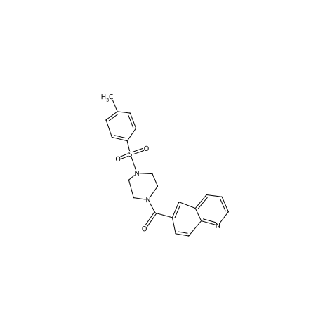 Cc1ccc(S(=O)(=O)N2CCN(C(=O)c3ccc4ncccc4c3)CC2)cc1